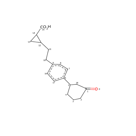 O=C1CCCC(c2ccc(CCC3CC3C(=O)O)cc2)C1